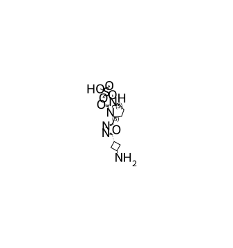 N[C@H]1C[C@H](c2nnc([C@@H]3CC[C@H]4CN3C(=O)N4OS(=O)(=O)O)o2)C1